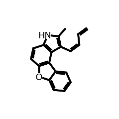 C=C/C=C\c1c(C)[nH]c2ccc3oc4ccccc4c3c12